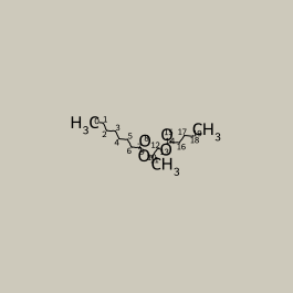 CCCCCCCC(=O)OC(C)COC(=O)CCCC